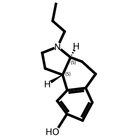 CCCN1CC[C@H]2c3cc(O)ccc3CC[C@@H]21